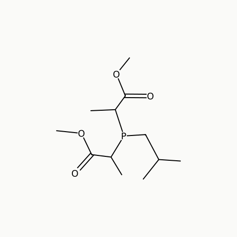 COC(=O)C(C)P(CC(C)C)C(C)C(=O)OC